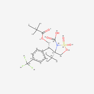 CC(C)(C)C(=O)OC[C@@H](c1ccc(C(F)(F)F)cc1)[C@]1(C(C)(C)C)COS(=O)(=O)N1C(=O)O